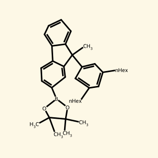 CCCCCCc1cc(CCCCCC)cc(C2(C)c3ccccc3-c3ccc(B4OC(C)(C)C(C)(C)O4)cc32)c1